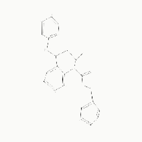 CC1CC(Nc2ccccc2)c2ccccc2N1C(=O)OCc1ccccc1